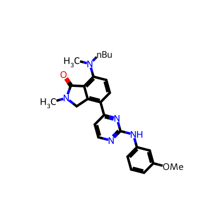 CCCCN(C)c1ccc(-c2ccnc(Nc3cccc(OC)c3)n2)c2c1C(=O)N(C)C2